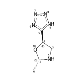 C[C@H]1NC[C@H](c2nnn[nH]2)O1